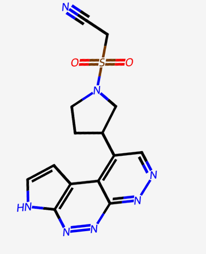 N#CCS(=O)(=O)N1CCC(c2cnnc3nnc4[nH]ccc4c23)C1